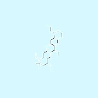 CCCN1CCCc2cc3c(cc21)Oc1cc2c(cc1=C3CF)C(CS)=CC(C)(C)[N+]=2CC